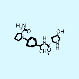 C[C@H](NC(=O)[C@@H]1C[C@@H](O)CN1)c1ccc(N2CCC[C@H]2C(N)=O)cc1